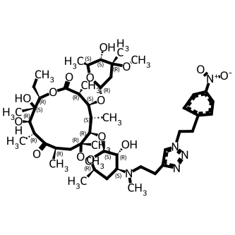 CC[C@H]1OC(=O)[C@H](C)[C@@H](O[C@H]2C[C@@](C)(OC)[C@@H](O)[C@H](C)O2)[C@H](C)[C@@H](O[C@@H]2O[C@H](C)C[C@H](N(C)CCc3cn(CCc4ccc([N+](=O)[O-])cc4)nn3)[C@H]2O)[C@](C)(OC)C[C@@H](C)C(=O)[C@H](C)[C@@H](O)[C@]1(C)O